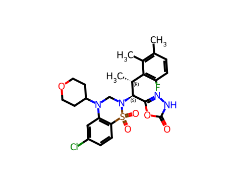 Cc1ccc(F)c([C@@H](C)[C@@H](c2n[nH]c(=O)o2)N2CN(C3CCOCC3)c3cc(Cl)ccc3S2(=O)=O)c1C